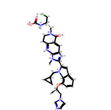 C[C@H](Cn1ccnc1)Oc1cccc2cc(-c3nc4cc5c(nc4n3C)CCN(C[C@@H](CF)NC(=O)O)C5=O)n(CC3CC3)c12